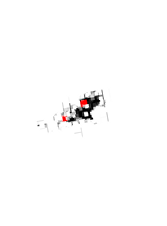 Cc1cc(NC(=O)OC(C)(C)C)[n+]([O-])c(C)c1CN(C(=O)O)C(C)(C)C